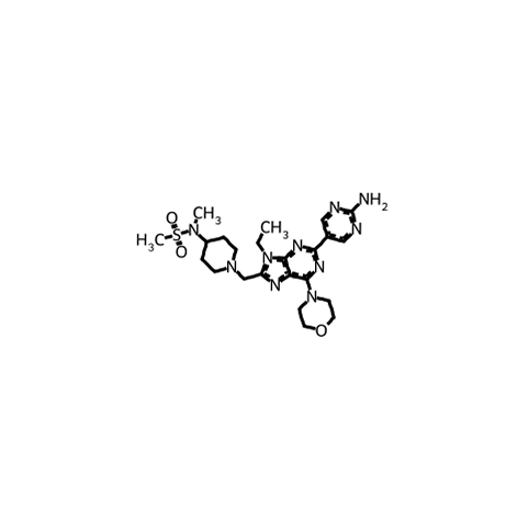 CCn1c(CN2CCC(N(C)S(C)(=O)=O)CC2)nc2c(N3CCOCC3)nc(-c3cnc(N)nc3)nc21